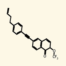 C=CCCc1ccc(C#Cc2ccc3c(c2)C=CC(OC(F)(F)F)C3=O)cc1